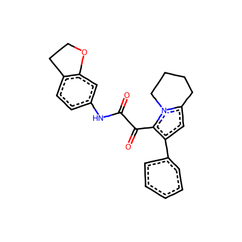 O=C(Nc1ccc2c(c1)OCC2)C(=O)c1c(-c2ccccc2)cc2n1CCCC2